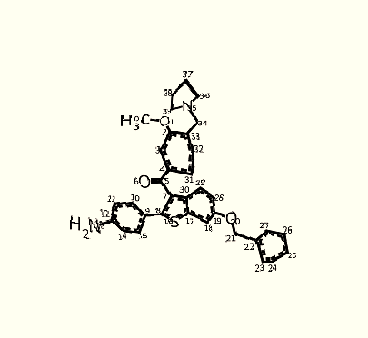 COc1cc(C(=O)c2c(-c3ccc(N)cc3)sc3cc(OCc4ccccc4)ccc23)ccc1CN1CCCC1